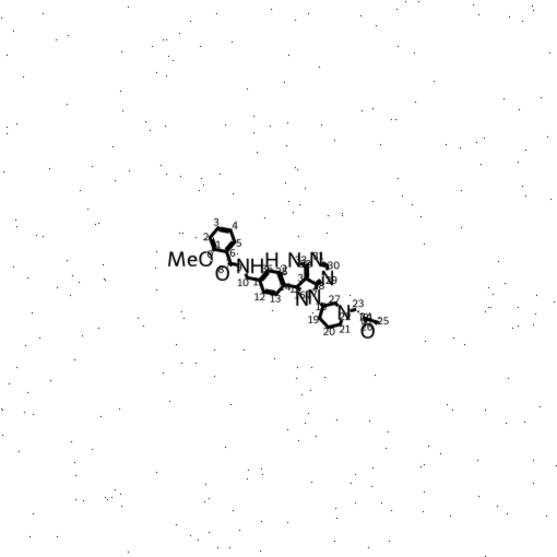 COc1ccccc1C(=O)NCc1ccc(-c2nn(C3CCCN(C[C@@H]4CO4)C3)c3ncnc(N)c23)cc1